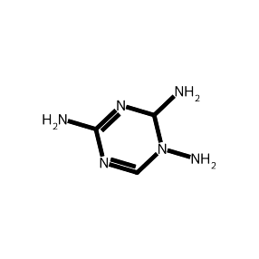 NC1=NC(N)N(N)C=N1